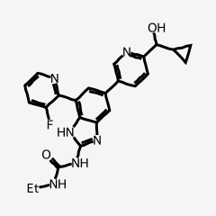 CCNC(=O)Nc1nc2cc(-c3ccc(C(O)C4CC4)nc3)cc(-c3ncccc3F)c2[nH]1